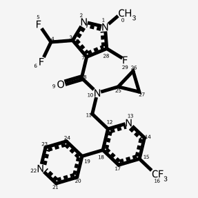 Cn1nc(C(F)F)c(C(=O)N(Cc2ncc(C(F)(F)F)cc2-c2ccncc2)C2CC2)c1F